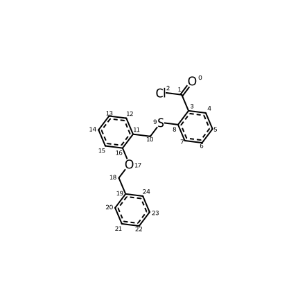 O=C(Cl)c1ccccc1SCc1ccccc1OCc1ccccc1